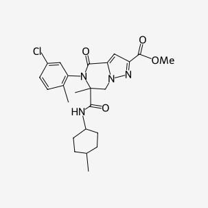 COC(=O)c1cc2n(n1)CC(C)(C(=O)NC1CCC(C)CC1)N(c1cc(Cl)ccc1C)C2=O